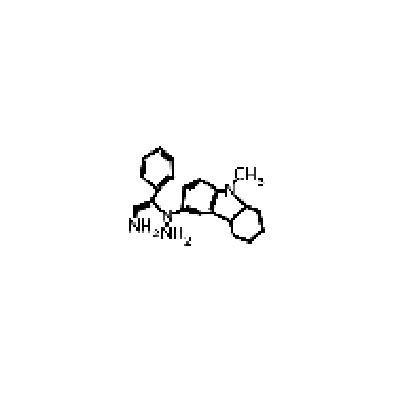 CN1c2ccc(N(N)/C(=C\N)c3ccccc3)cc2C2CCCCC21